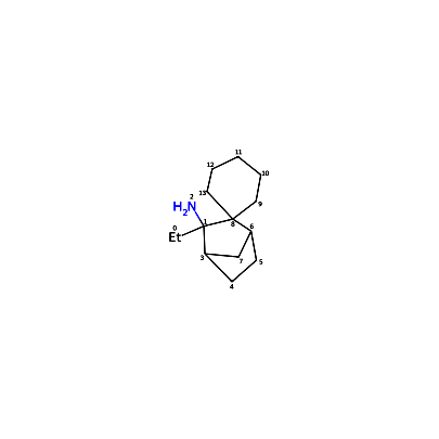 CCC1(N)C2CCC(C2)C12CCCCC2